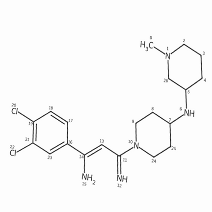 CN1CCCC(NC2CCN(C(=N)/C=C(\N)c3ccc(Cl)c(Cl)c3)CC2)C1